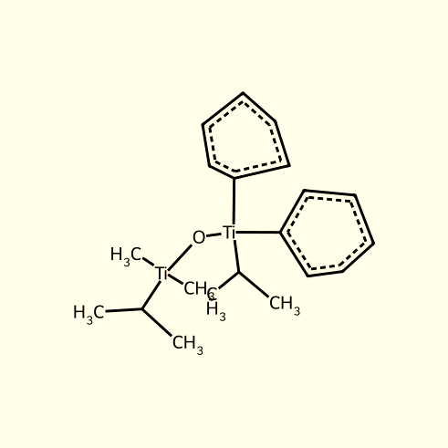 C[CH](C)[Ti]([CH3])([CH3])[O][Ti]([c]1ccccc1)([c]1ccccc1)[CH](C)C